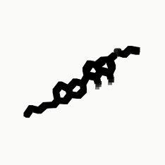 C=CCOc1cc(F)c2c(F)c(C3CCC4CC(CCCCC)CCC4C3)ccc2c1